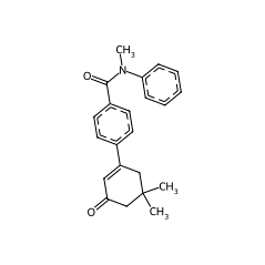 CN(C(=O)c1ccc(C2=CC(=O)CC(C)(C)C2)cc1)c1ccccc1